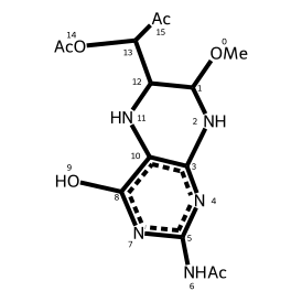 COC1Nc2nc(NC(C)=O)nc(O)c2NC1C(OC(C)=O)C(C)=O